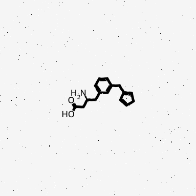 N[C@H](CC(=O)O)Cc1cccc(CC2=CCC=C2)c1